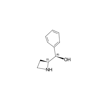 O[C@H](c1ccccc1)[C@@H]1CCN1